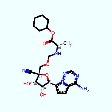 C[C@H](NCOC[C@@]1(C#N)O[C@@H](c2ccc3c(N)ncnn23)[C@H](O)[C@@H]1O)C(=O)OC1CCCCC1